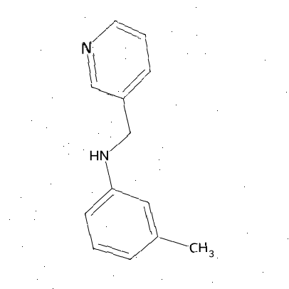 Cc1cccc(NCc2cccnc2)c1